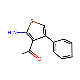 CC(=O)c1c(-c2ccccc2)csc1N